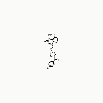 COc1cccc2c(CCN3CCC(C(=O)c4ccc(F)cc4)CC3)cc(=O)[nH]c12